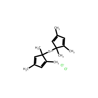 CC1=C[C](C)([Zr+2][C]2(C)C=C(C)C=C2C)C(C)=C1.[Cl-].[Cl-]